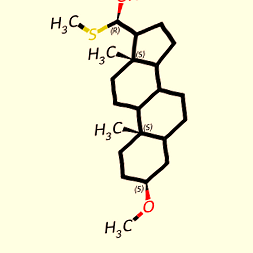 CO[C@H]1CC[C@@]2(C)C(CCC3C2CC[C@@]2(C)C3CCC2[C@H](O)SC)C1